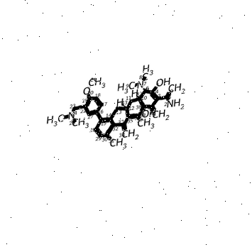 C=C(N)C1=C(O)[C@@H](N(C)C)[C@@H]2C[C@@H]3Cc4c(-c5ccc(OC)c(CN(C)C)c5)ccc(C)c4C(=C)C3=C(C)[C@]2(O)C1=C